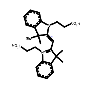 CC1(C)C(/C=C2/N(CCC(=O)O)c3ccccc3C2(C)C(C)(C)C)=[N+](CCC(=O)O)c2ccccc21